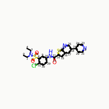 CCN(CC)S(=O)(=O)c1cc(NC(=O)c2cc3cc(-c4ccncc4)cnc3s2)ccc1Cl